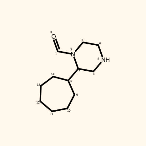 O=[C]N1CCNCC1C1CCCCCC1